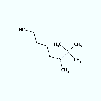 CN(CCCCC#N)[Si](C)(C)C